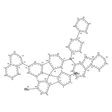 CC(C)(C)c1ccc2c(c1)C1(c3ccc(-c4cccc5ccccc45)cc3-c3ccc(N(c4ccc(-c5ccccc5)cc4)c4cccc5c4oc4ccccc45)cc31)c1cc(C(C)(C)C)ccc1-2